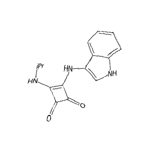 CC(C)Nc1c(Nc2c[nH]c3ccccc23)c(=O)c1=O